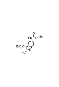 CCOC(=O)c1c(C)nn2ccc(NC(=O)OC(C)(C)C)cc12